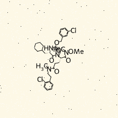 CON(C)C(=O)[C@H](CCC(=O)N(C)CCc1ccccc1Cl)NC(=O)[C@H](CC1CCCCC1)NC(=O)OCc1cccc(Cl)c1